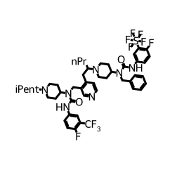 CCCC(C)N1CCC(N(Cc2cnccc2CC(CCC)N2CCC(N(Cc3ccccc3)C(=O)Nc3ccc(F)c(S(F)(F)(F)(F)F)c3)CC2)C(=O)Nc2ccc(F)c(C(F)(F)F)c2)CC1